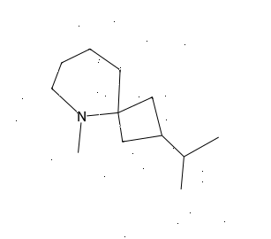 CC(C)C1CC2(CCCCN2C)C1